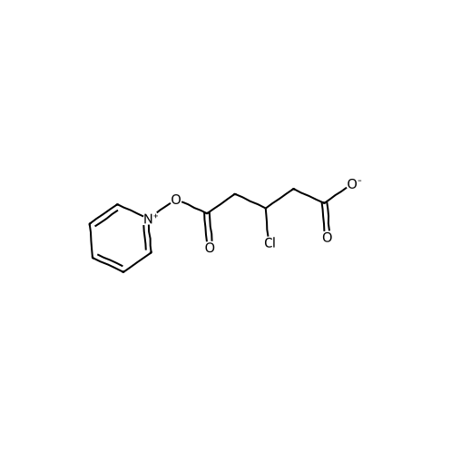 O=C([O-])CC(Cl)CC(=O)O[n+]1ccccc1